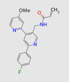 C=CC(=O)NCc1cnc(-c2ccc(F)cc2)cc1-c1cc(OC)ccn1